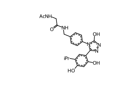 CC(=O)NCC(=O)NCc1ccc(-n2c(O)nnc2-c2cc(C(C)C)c(O)cc2O)cc1